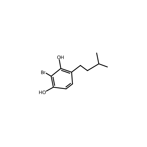 CC(C)CCc1ccc(O)c(Br)c1O